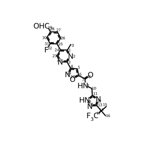 Cc1nc(-c2cc(C(=O)NCc3nc(C(C)(C)C(F)(F)F)n[nH]3)on2)ncc1-c1ccc(C=O)cc1F